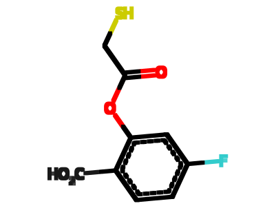 O=C(CS)Oc1cc(F)ccc1C(=O)O